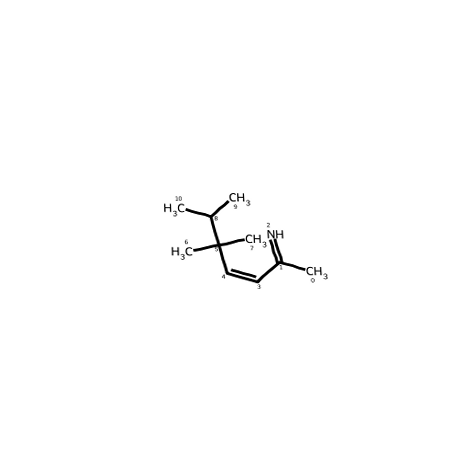 CC(=N)/C=C\C(C)(C)C(C)C